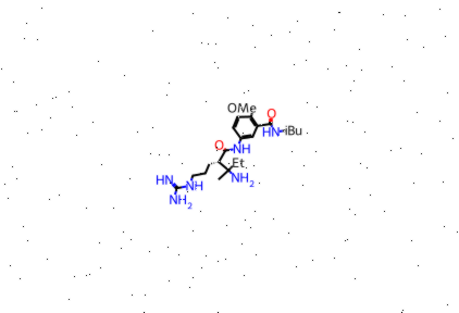 CCC(C)NC(=O)c1cc(NC(=O)[C@@H](CCCNC(=N)N)C(C)(N)CC)ccc1OC